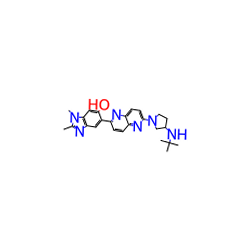 Cc1nc2cc(-c3ccc4nc(N5CCC(NC(C)(C)C)C5)ccc4n3)c(O)cc2n1C